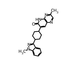 Cc1cnc2cc(C3CCC(c4nn(C)c5ccccc45)CC3)c(=O)[nH]c2n1